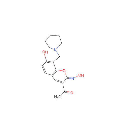 CC(=O)c1cc2ccc(O)c(CN3CCCCC3)c2oc1=NO